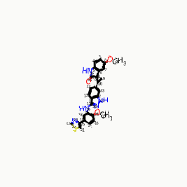 COc1ccc2c(c1)[C@]1(C[C@H]1c1ccc3c(Nc4cc(-c5cscn5)ccc4OC)n[nH]c3c1)C(=O)N2